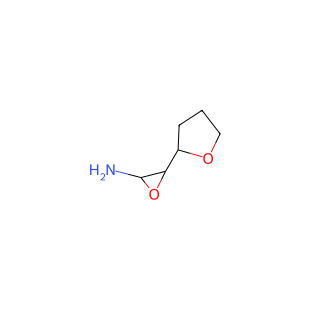 NC1OC1C1CCCO1